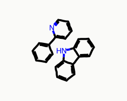 c1ccc(-c2ccccn2)cc1.c1ccc2c(c1)[nH]c1ccccc12